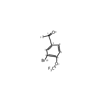 O=C(I)c1ccc(OC(F)(F)F)c(Br)c1